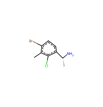 Cc1c(Br)ccc([C@@H](C)N)c1Cl